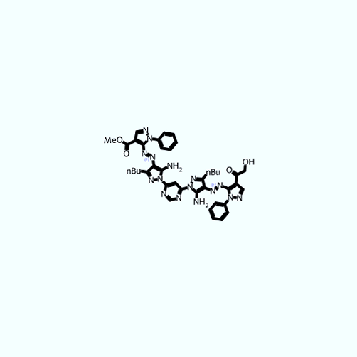 CCCCc1nn(-c2cc(-n3nc(CCCC)c(/N=N/c4c(C(=O)OC)cnn4-c4ccccc4)c3N)ncn2)c(N)c1/N=N/c1c(C(=O)CO)cnn1-c1ccccc1